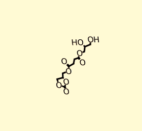 O=C(CCC(=O)OCC1COC(=O)O1)OCC(O)CO